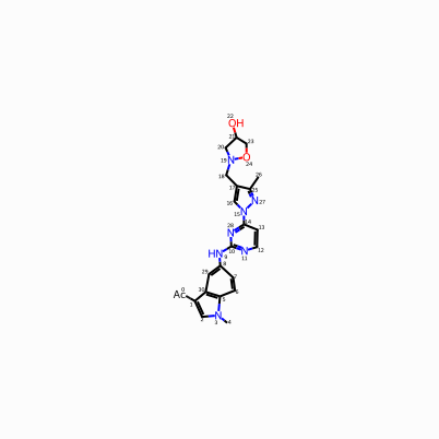 CC(=O)c1cn(C)c2ccc(Nc3nccc(-n4cc(CN5CC(O)CO5)c(C)n4)n3)cc12